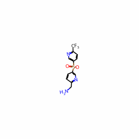 NCc1ccc(S(=O)(=O)c2ccc(C(F)(F)F)nc2)cn1